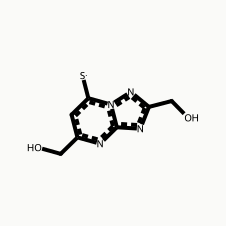 OCc1cc([S])n2nc(CO)nc2n1